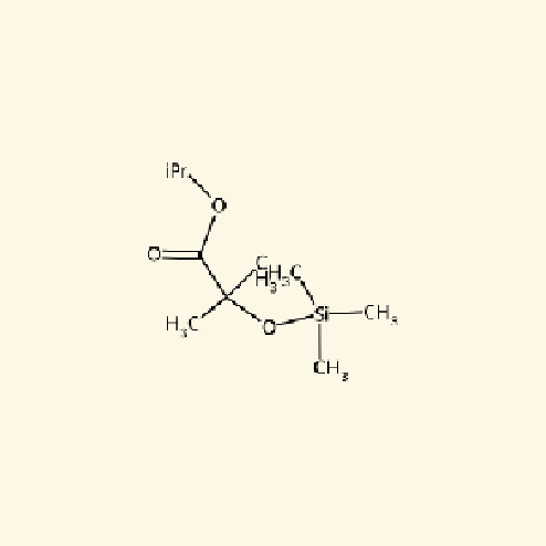 CC(C)OC(=O)C(C)(C)O[Si](C)(C)C